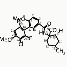 COc1ccc(C(=O)NC2(C(=O)O)CCC(C)CC2)cc1-c1c(F)cc(OC)c(Cl)c1F